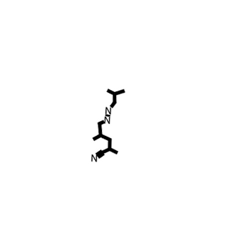 CC(C)CN=NCC(C)CC(C)C#N